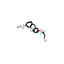 O=C(O)c1ccc(Cc2cccc(OC(F)(F)CCBr)c2)c(C(=O)O)c1